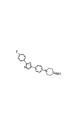 N=S1CCN(c2ccc(-c3cnc(-c4ccc(F)cc4)s3)cc2)CC1